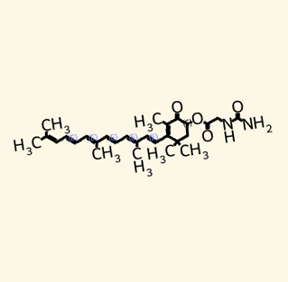 CC(C)=C/C=C/C=C(C)/C=C/C=C(C)/C=C/C1=C(C)C(=O)[C@@H](OC(=O)CNC(N)=O)CC1(C)C